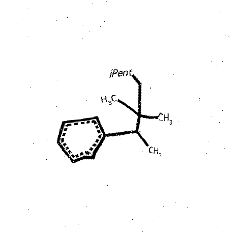 CCCC(C)CC(C)(C)[C](C)c1ccccc1